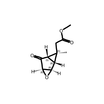 COC(=O)C[C@@]1(C)[C@@H]2[C@H]3O[C@H]3C(=O)[C@@H]21